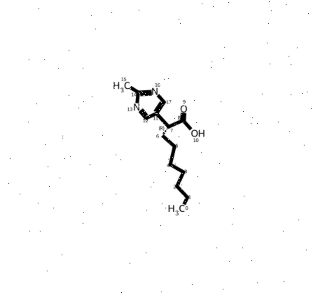 CCCCCCC[C@@H](C(=O)O)c1cnc(C)nc1